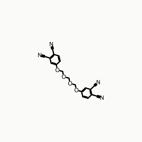 N#Cc1ccc(OCOCOCOc2ccc(C#N)c(C#N)c2)cc1C#N